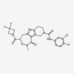 CN1OC(C(=O)N2CC(F)(F)C2)Cn2nc3c(c2C1=O)CN(C(=O)Nc1ccc(F)c(Cl)c1)CC3